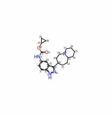 O=C(Nc1ccc2[nH]nc(C3CCC4CCCCN4CC3)c2c1)OC1CC1